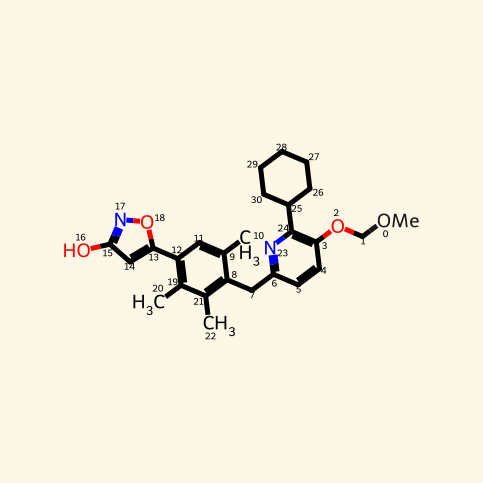 COCOc1ccc(Cc2c(C)cc(-c3cc(O)no3)c(C)c2C)nc1C1CCCCC1